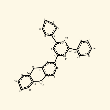 c1ccc(-c2cc(-c3ccc4c(c3)Cc3ccccc3O4)nc(-c3ccccc3)n2)cc1